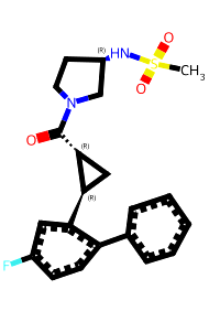 CS(=O)(=O)N[C@@H]1CCN(C(=O)[C@@H]2C[C@H]2c2cc(F)ccc2-c2ccccc2)C1